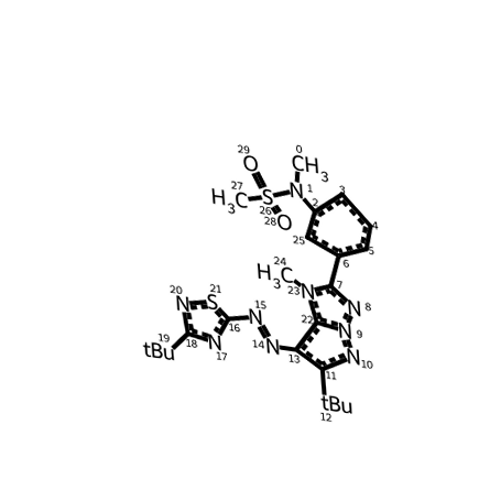 CN(c1cccc(-c2nn3nc(C(C)(C)C)c(N=Nc4nc(C(C)(C)C)ns4)c3n2C)c1)S(C)(=O)=O